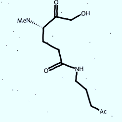 CN[C@@H](CCC(=O)NCCCC(C)=O)C(=O)CO